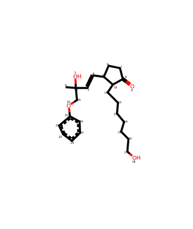 CC(O)(/C=C/C1CCC(=O)C1CCCCCCCO)COc1ccccc1